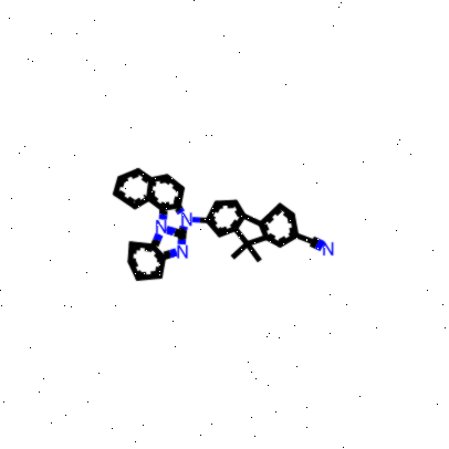 CC1(C)c2cc(C#N)ccc2-c2ccc(-n3c4ccc5ccccc5c4n4c5ccccc5nc34)cc21